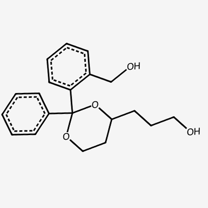 OCCCC1CCOC(c2ccccc2)(c2ccccc2CO)O1